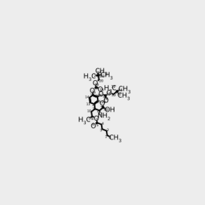 CCCCCC(=O)OC(C)CC(c1ccc(OC(=O)OCC(C)(C)C)c(OC(=O)OCC(C)(C)C)c1)[C@H](N)C(=O)O